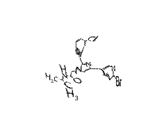 CC(C)NC(=O)Cn1cc(-c2ccc(Br)nc2)nc1-c1cccc(Cl)c1